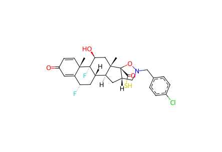 C[C@]12C=CC(=O)C=C1[C@@H](F)C[C@H]1[C@@H]3C[C@H]4CN(Cc5ccc(Cl)cc5)O[C@@]4(C(=O)S)[C@@]3(C)C[C@H](O)[C@@]12F